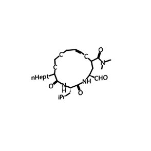 CCCCCCCC1CCCC/C=C/CC(C(=O)N(C)C)C[C@@H](C=O)NC(=O)[C@H](CC(C)C)NC1=O